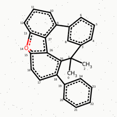 CC1(C)c2cccc(c2)-c2cccc3oc4ccc(-c5ccccc5)c1c4c23